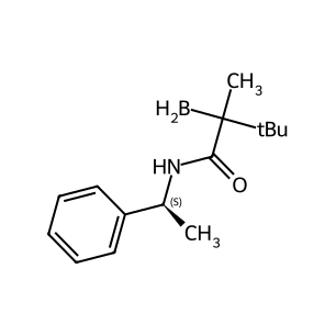 BC(C)(C(=O)N[C@@H](C)c1ccccc1)C(C)(C)C